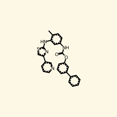 Cc1ccc(NC(=O)Oc2cccc(-c3ccccc3)c2)cc1Nc1nc(-c2cccnc2)cs1